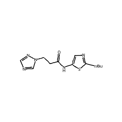 CCCCc1ncc(NC(=O)CCn2cncn2)s1